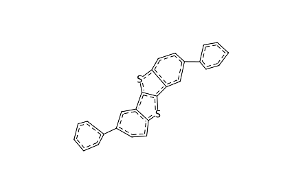 c1ccc(-c2ccc3sc4c5cc(-c6ccccc6)ccc5sc4c3c2)cc1